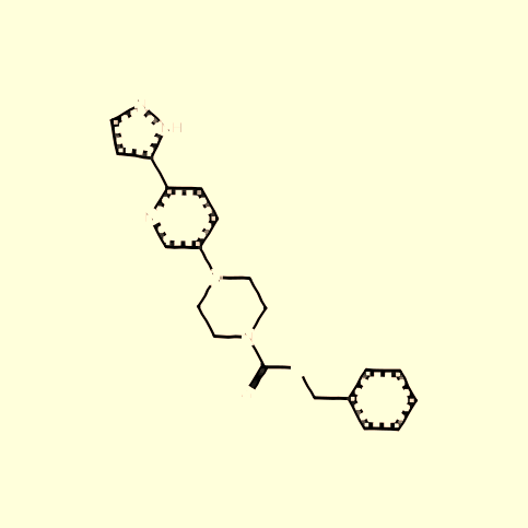 O=C(OCc1ccccc1)N1CCN(c2ccc(-c3ccn[nH]3)nc2)CC1